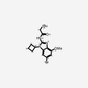 COc1cc(Br)cc2c1nc(NC(=O)CC(C)(C)C)n2C1CCC1